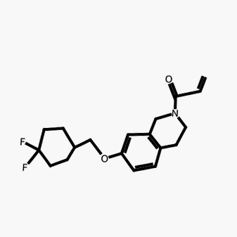 C=CC(=O)N1CCc2ccc(OCC3CCC(F)(F)CC3)cc2C1